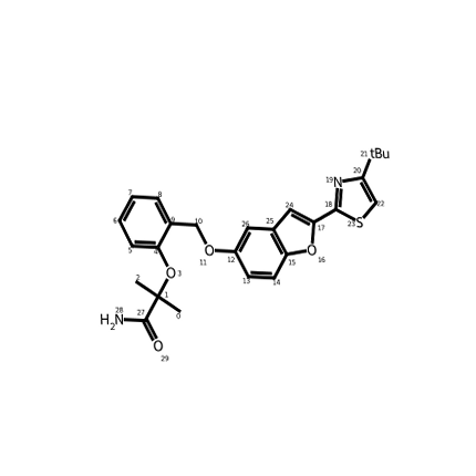 CC(C)(Oc1ccccc1COc1ccc2oc(-c3nc(C(C)(C)C)cs3)cc2c1)C(N)=O